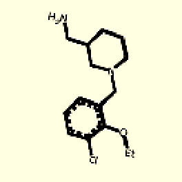 CCOc1c(Cl)cccc1CN1CCCC(CN)C1